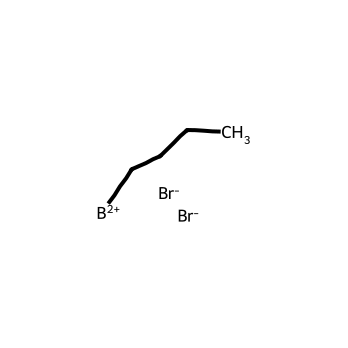 [B+2]CCCC.[Br-].[Br-]